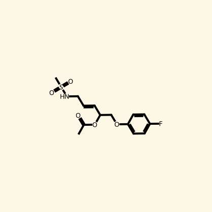 CC(=O)OC(/C=C/CNS(C)(=O)=O)COc1ccc(F)cc1